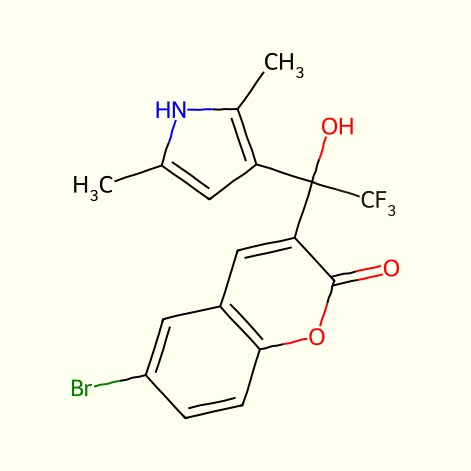 Cc1cc(C(O)(c2cc3cc(Br)ccc3oc2=O)C(F)(F)F)c(C)[nH]1